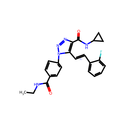 CCNC(=O)c1ccc(-n2nnc(C(=O)NC3CC3)c2/C=C/c2ccccc2F)cc1